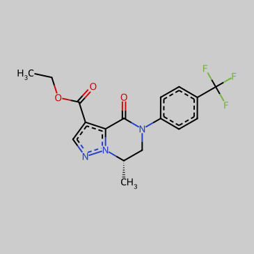 CCOC(=O)c1cnn2c1C(=O)N(c1ccc(C(F)(F)F)cc1)C[C@@H]2C